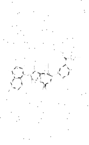 Cc1c(-c2cccc3ccccc23)nn2c(=O)cc(-c3cccc(C(=O)O)c3)[nH]c12